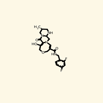 C[C@H]1CNC2CN3/C=C(/C(=O)NCc4ccc(F)cc4F)COC/C(O)=C\3C(=O)N2C1